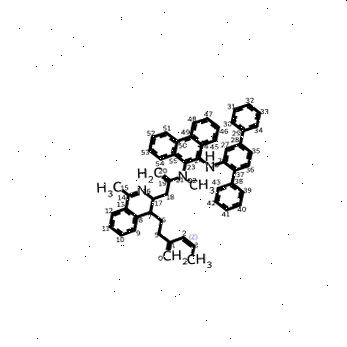 C=C(/C=C\C)CCC1c2ccccc2C(C)=NC1CC(=C)N(C)c1c(Nc2cc(-c3ccccc3)ccc2-c2ccccc2)c2ccccc2c2ccccc12